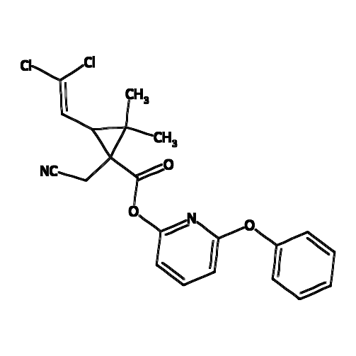 CC1(C)C(C=C(Cl)Cl)C1(CC#N)C(=O)Oc1cccc(Oc2ccccc2)n1